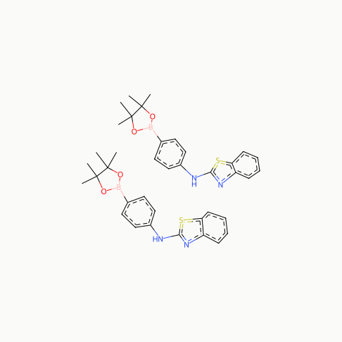 CC1(C)OB(c2ccc(Nc3nc4ccccc4s3)cc2)OC1(C)C.CC1(C)OB(c2ccc(Nc3nc4ccccc4s3)cc2)OC1(C)C